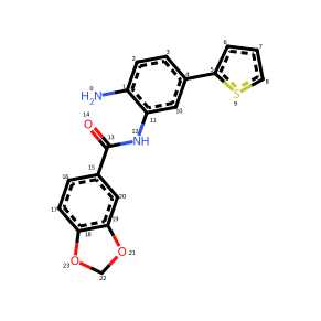 Nc1ccc(-c2cccs2)cc1NC(=O)c1ccc2c(c1)OCO2